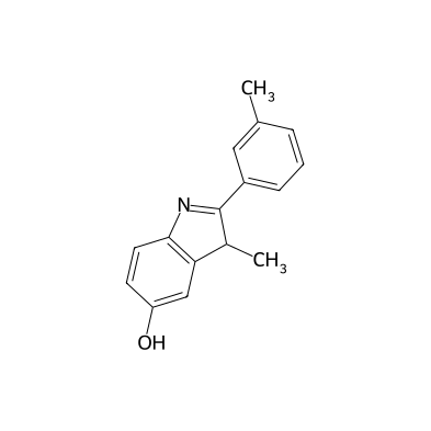 Cc1cccc(C2=Nc3ccc(O)cc3C2C)c1